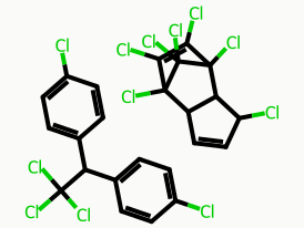 ClC1=C(Cl)C2(Cl)C3C(Cl)C=CC3C1(Cl)C2(Cl)Cl.Clc1ccc(C(c2ccc(Cl)cc2)C(Cl)(Cl)Cl)cc1